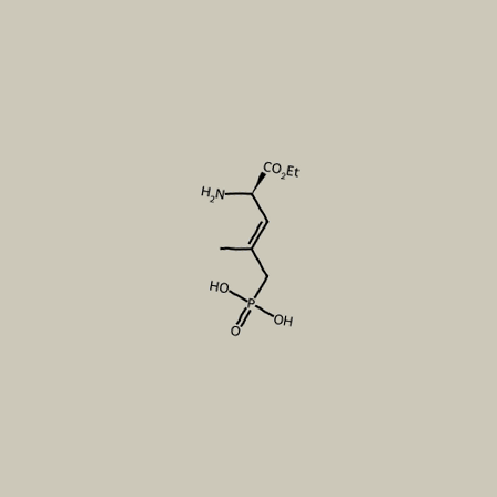 CCOC(=O)[C@H](N)/C=C(\C)CP(=O)(O)O